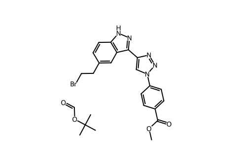 CC(C)(C)OC=O.COC(=O)c1ccc(-n2cc(-c3n[nH]c4ccc(CCBr)cc34)nn2)cc1